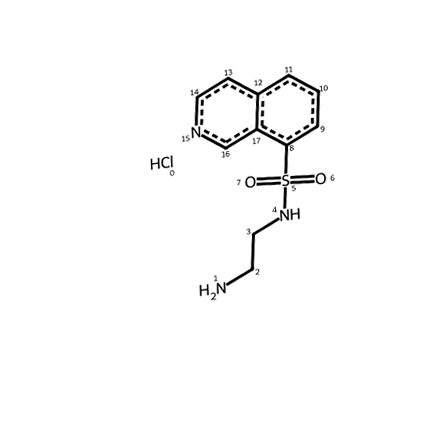 Cl.NCCNS(=O)(=O)c1cccc2ccncc12